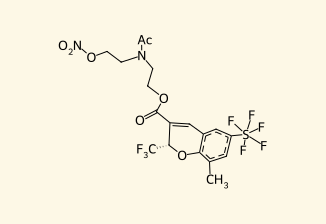 CC(=O)N(CCOC(=O)C1=Cc2cc(S(F)(F)(F)(F)F)cc(C)c2O[C@@H]1C(F)(F)F)CCO[N+](=O)[O-]